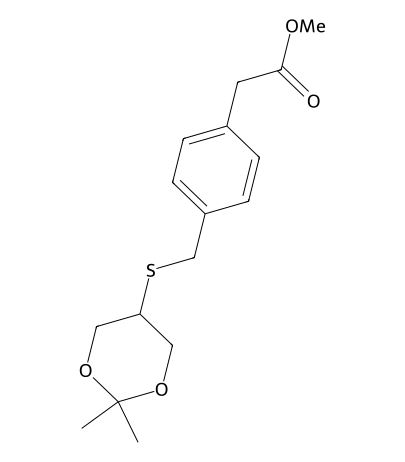 COC(=O)Cc1ccc(CSC2COC(C)(C)OC2)cc1